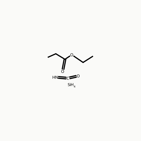 CCOC(=O)CC.N=C=O.[SiH4]